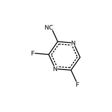 N#Cc1ncc(F)nc1F